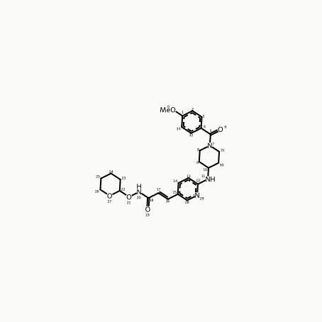 COc1ccc(C(=O)N2CCC(Nc3ccc(C=CC(=O)NOC4CCCCO4)cn3)CC2)cc1